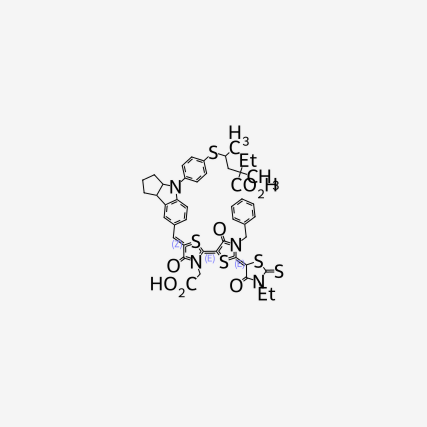 CCN1C(=O)/C(=c2\s/c(=c3/s/c(=C\c4ccc5c(c4)C4CCCC4N5c4ccc(SC(C)CC(C)(CC)C(=O)O)cc4)c(=O)n3CC(=O)O)c(=O)n2Cc2ccccc2)SC1=S